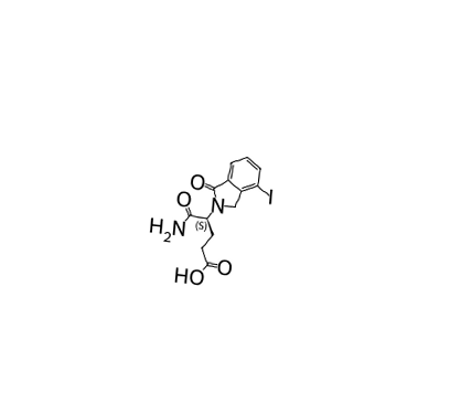 NC(=O)[C@H](CCC(=O)O)N1Cc2c(I)cccc2C1=O